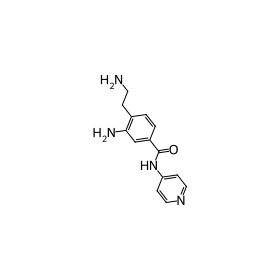 NCCc1ccc(C(=O)Nc2ccncc2)cc1N